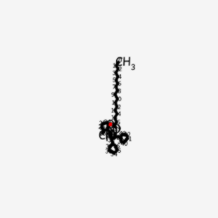 CCCCCCCCCCCCCCCCCC(=O)On1c(-c2ccccc2Cl)nc(-c2ccccc2)c1-c1ccccc1